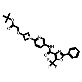 CC(C)(C)OC(=O)COC1CN(c2ccc(NC(=O)c3nc(-c4ccccc4)oc3C(F)(F)F)cn2)C1